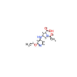 CCOc1cc(N[C@H]2C[C@H](C(=O)O)N(C(C)=O)C2)ccn1